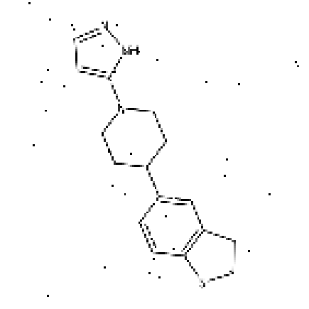 c1cc(N2CCC(c3ccc4c(c3)CCS4)CC2)[nH]n1